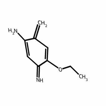 C=C1C=C(OCC)C(=N)C=C1N